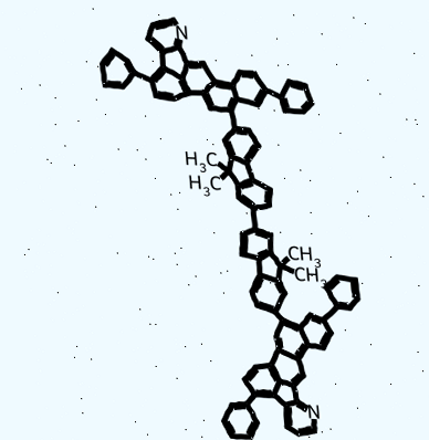 CC1(C)c2cc(-c3ccc4c(c3)C(C)(C)c3cc(-c5cc6c7ccc(-c8ccccc8)c8c7c(cc6c6ccc(-c7ccccc7)cc56)-c5ncccc5-8)ccc3-4)ccc2-c2ccc(-c3cc4c5ccc(-c6ccccc6)c6c5c(cc4c4ccc(-c5ccccc5)cc34)-c3ncccc3-6)cc21